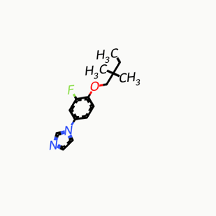 CCC(C)(C)COc1ccc(-n2ccnc2)cc1F